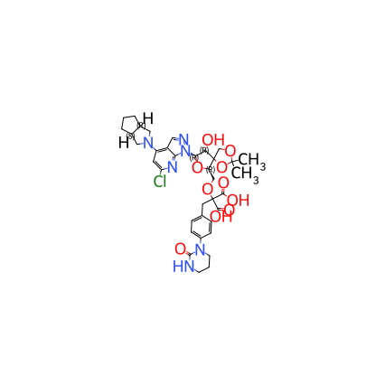 CC1(C)OCC2(O1)[C@@H](COC(Cc1ccc(N3CCCNC3=O)cc1)(C(=O)O)C(=O)O)O[C@@H](n1ncc3c(N4C[C@H]5CCC[C@H]5C4)cc(Cl)nc31)[C@@H]2O